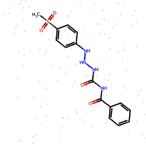 CS(=O)(=O)c1ccc(NNNC(=O)NC(=O)c2ccccc2)cc1